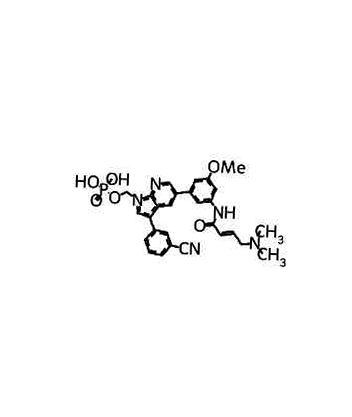 COc1cc(NC(=O)/C=C/CN(C)C)cc(-c2cnc3c(c2)c(-c2cccc(C#N)c2)cn3COP(=O)(O)O)c1